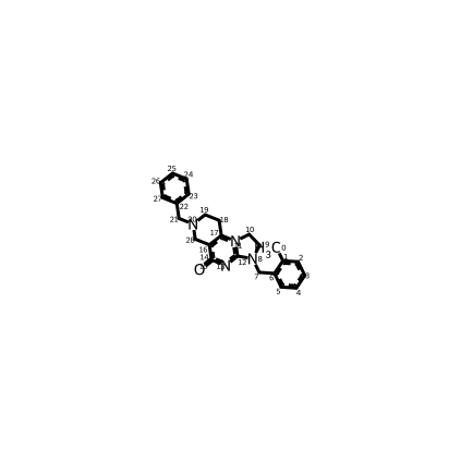 Cc1ccccc1CN1CCn2c1nc(=O)c1c2CCN(Cc2ccccc2)C1